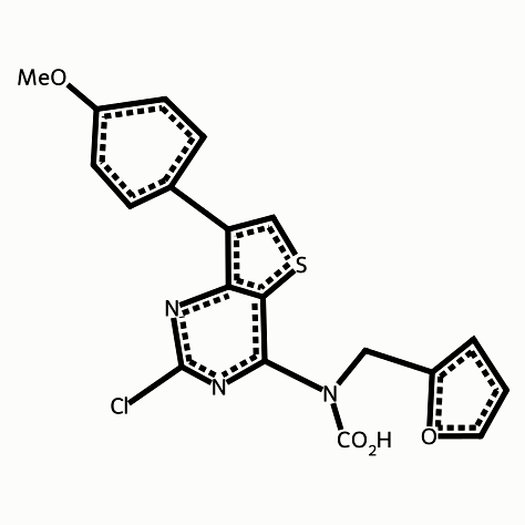 COc1ccc(-c2csc3c(N(Cc4ccco4)C(=O)O)nc(Cl)nc23)cc1